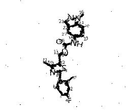 Cc1cc(F)ccc1-c1nc(C)c(COC(=O)Nc2ccc3c(cnn3C)c2)s1